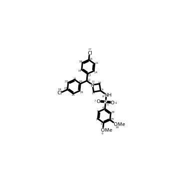 COc1ccc(S(=O)(=O)NC2CN(C(c3ccc(Cl)cc3)c3ccc(Cl)cc3)C2)cc1OC